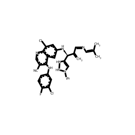 C=C(/C=N\C=C(C)C)[C@H](Nc1cc(Cl)c2ncc(C#N)c(Nc3ccc(F)c(Cl)c3)c2c1)C1=CN(C(C)C)NN1